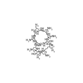 CCC(C)CCCC(=O)N[C@@H](CCN)C(=O)N[C@H](C(=O)N[C@@H](CCN)C(=O)N[C@H]1CCNC(=O)[C@H]([C@@H](C)O)NC(=O)[C@H](CCN)NC(=O)[C@H](CCN)NC(=O)[C@H](CC(C)C)NC(=O)CNC(=O)[C@H](CCN)NC1=O)[C@@H](C)O